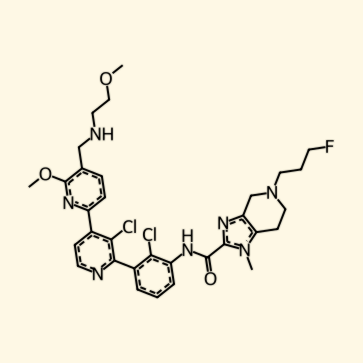 COCCNCc1ccc(-c2ccnc(-c3cccc(NC(=O)c4nc5c(n4C)CCN(CCCF)C5)c3Cl)c2Cl)nc1OC